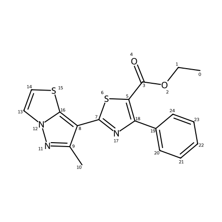 CCOC(=O)c1sc(-c2c(C)nn3ccsc23)nc1-c1ccccc1